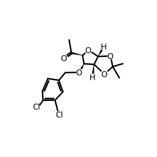 CC(=O)[C@H]1O[C@@H]2OC(C)(C)O[C@@H]2[C@H]1OCc1ccc(Cl)c(Cl)c1